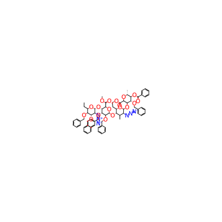 CCC1O[C@@H](O[C@H]2C(C(=O)OC)O[C@H](C)C(OC(=O)c3ccccc3)[C@@H]2OCc2ccccc2)[C@@H](N=[N+]=[N-])C(C)[C@@H]1O[C@@H]1OC(C(=O)OC)[C@@H](O[C@H]2OC(CC)[C@H](OCc3ccccc3)[C@@H](OCc3ccccc3)C2N=[N+]=[N-])[C@@H](OCc2ccccc2)C1OCc1ccccc1